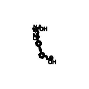 CC(O)c1nccn1Cc1cc(-c2ccc(C#Cc3cccc(CCC(=O)O)c3)cc2)on1